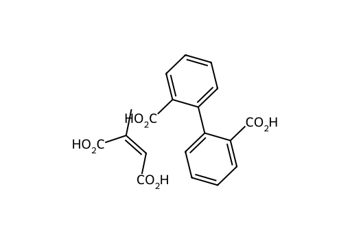 C/C(=C/C(=O)O)C(=O)O.O=C(O)c1ccccc1-c1ccccc1C(=O)O